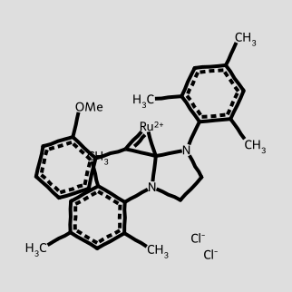 COc1ccccc1[C]1=[Ru+2][C]12N(c1c(C)cc(C)cc1C)CCN2c1c(C)cc(C)cc1C.[Cl-].[Cl-]